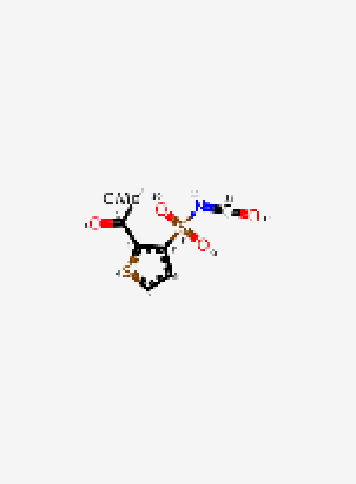 COC(=O)c1sccc1S(=O)(=O)N=C=O